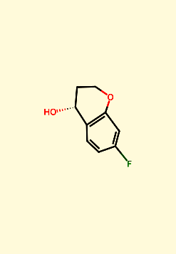 O[C@@H]1CCOc2cc(F)ccc21